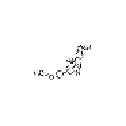 OCCOc1ccc(-c2cc3ncnc(Nc4ccc5[nH]ccc5c4)c3s2)cc1